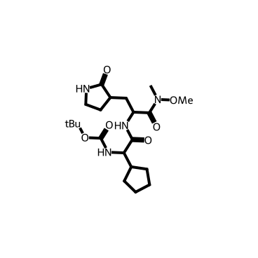 CON(C)C(=O)C(CC1CCNC1=O)NC(=O)C(NC(=O)OC(C)(C)C)C1CCCC1